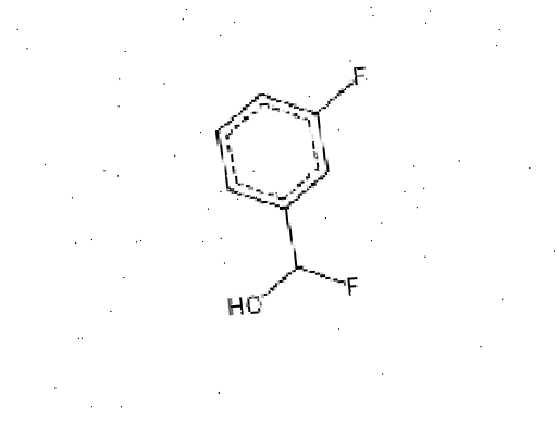 OC(F)c1cccc(F)c1